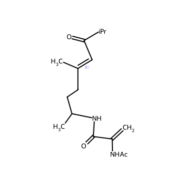 C=C(NC(C)=O)C(=O)NC(C)CC/C(C)=C/C(=O)C(C)C